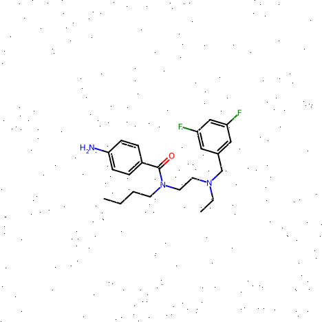 CCCCN(CCN(CC)Cc1cc(F)cc(F)c1)C(=O)c1ccc(N)cc1